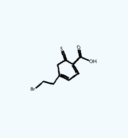 O=C(O)C1=CC=C(CCBr)CC1=S